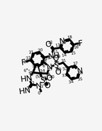 CN1C(=N)N[C@@](C)(c2cc(NC(=O)c3ccc(F)cn3)ccc2F)[C@@]2(CCN(S(=O)(=O)Cc3cccnc3)C2)S1(=O)=O